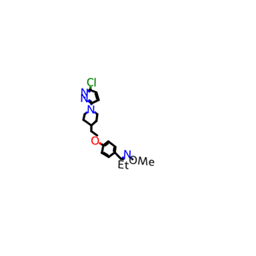 CCC(=NOC)c1ccc(OCCC2CCN(c3ccc(Cl)nn3)CC2)cc1